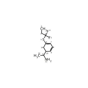 CCC(F)(F)SC1=CC=CC(C(C)N)C1